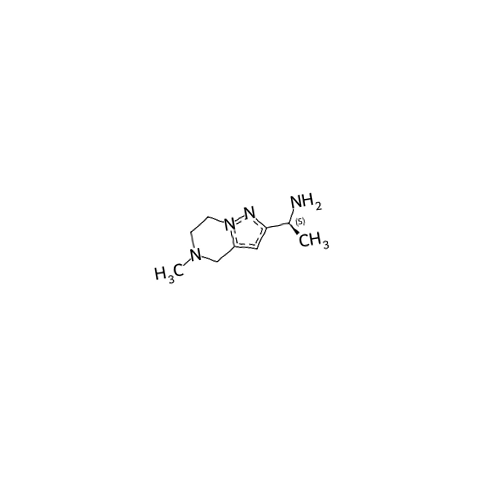 C[C@H](N)c1cc2n(n1)CCN(C)C2